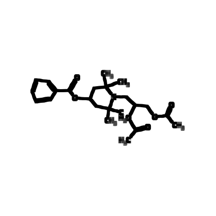 CC(=O)OCC(CN1C(C)(C)CC(OC(=O)c2ccccc2)CC1(C)C)OC(C)=O